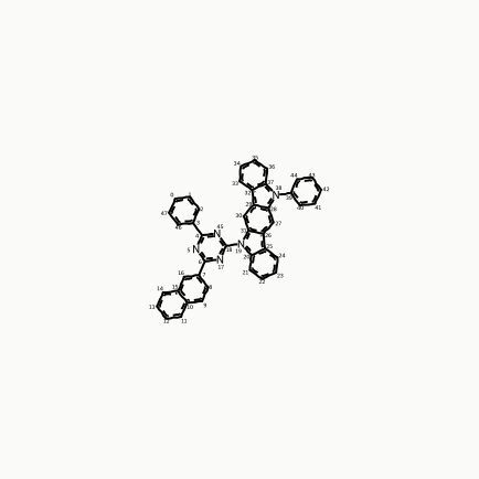 c1ccc(-c2nc(-c3ccc4ccccc4c3)nc(-n3c4ccccc4c4cc5c(cc43)c3ccccc3n5-c3ccccc3)n2)cc1